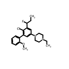 CCC(F)c1cc(N2CCN(CC)CC2)cc(-c2ccccc2OC)c1Cl